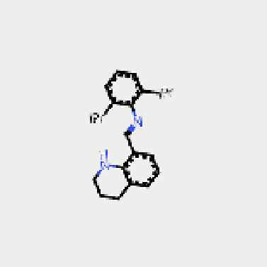 CC(C)c1cccc(C(C)C)c1/N=C/c1cccc2c1NCCC2